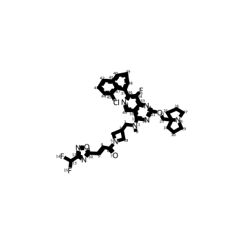 CN(CC1CN(C(=O)/C=C/c2nc(C(F)F)no2)C1)c1nc(OCC23CCCN2CCC3)nc2c(F)c(-c3cccc4cccc(Cl)c34)ncc12